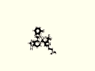 CN(C)CCn1cc(C(=O)N2CCc3[nH]cnc3[C@H]2c2nc3c(F)cccc3s2)c(C(F)(F)F)n1